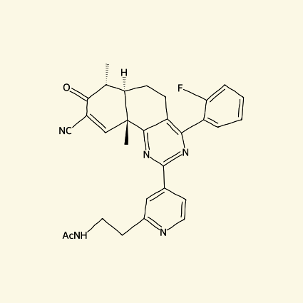 CC(=O)NCCc1cc(-c2nc(-c3ccccc3F)c3c(n2)[C@]2(C)C=C(C#N)C(=O)[C@H](C)[C@H]2CC3)ccn1